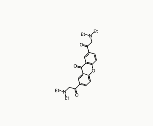 CCN(CC)CC(=O)c1ccc2oc3ccc(C(=O)CN(CC)CC)cc3c(=O)c2c1